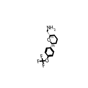 NC[C@@H]1CCC[C@H](c2ccc(OC(F)(F)F)cc2)O1